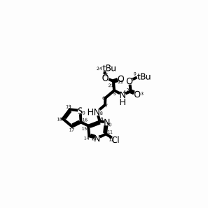 CC(C)(C)OC(=O)NC(CCNc1nc(Cl)ncc1-c1cccs1)C(=O)OC(C)(C)C